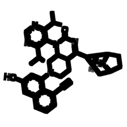 C#Cc1cccc2cc(O)cc(N3CCC4C(C5C6C7CCC(C[C@H]56)N7)=NC(=O)N(c5c(C(C)C)ncnc5C(C)C)C4C3)c12